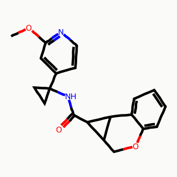 COc1cc(C2(NC(=O)C3C4COc5ccccc5C43)CC2)ccn1